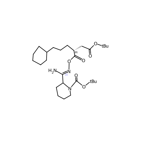 CC(C)(C)OC(=O)C[C@@H](CCCC1CCCCC1)C(=O)O/N=C(\N)C1CCCCN1C(=O)OC(C)(C)C